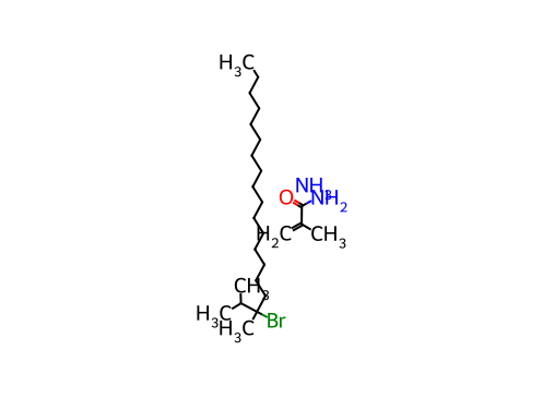 C=C(C)C(N)=O.CCCCCCCCCCCCCCCCC(C)(Br)C(C)C.N